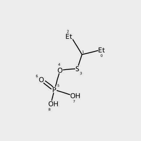 CCC(CC)SOP(=O)(O)O